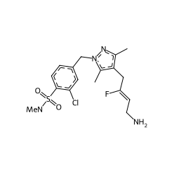 CNS(=O)(=O)c1ccc(Cn2nc(C)c(C/C(F)=C/CN)c2C)cc1Cl